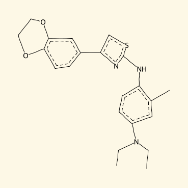 CCN(CC)c1ccc(Nc2nc(-c3ccc4c(c3)OCCO4)cs2)c(C)c1